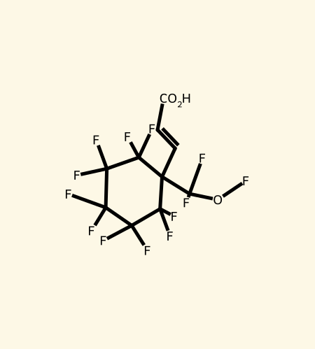 O=C(O)C=CC1(C(F)(F)OF)C(F)(F)C(F)(F)C(F)(F)C(F)(F)C1(F)F